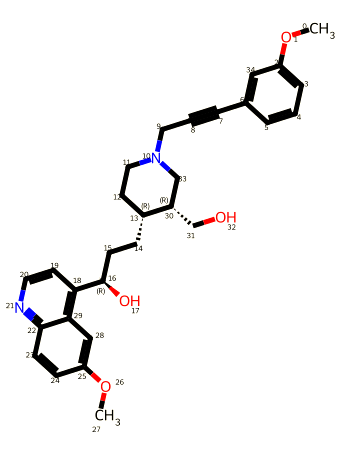 COc1cccc(C#CCN2CC[C@@H](CC[C@@H](O)c3ccnc4ccc(OC)cc34)[C@@H](CO)C2)c1